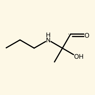 CCCNC(C)(O)[C]=O